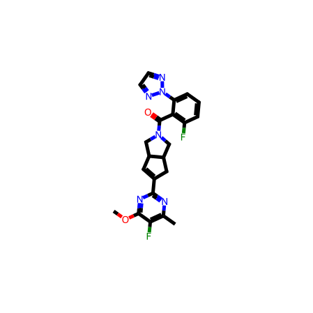 COc1nc(C2=CC3CN(C(=O)c4c(F)cccc4-n4nccn4)CC3C2)nc(C)c1F